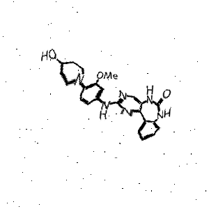 COc1cc(Nc2ncc3c(n2)-c2ccccc2NC(=O)N3)ccc1N1CCC(O)CC1